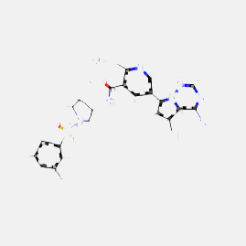 COc1ncc(-c2cc(C(F)(F)F)c3c(N)ncnn23)cc1C(=O)N[C@@H]1CN(S(=O)(=O)c2cccc(C)c2)C[C@@H]1F